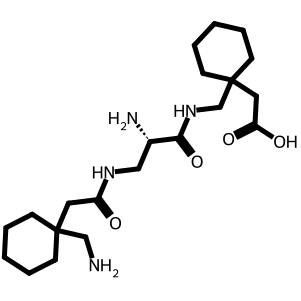 NCC1(CC(=O)NC[C@H](N)C(=O)NCC2(CC(=O)O)CCCCC2)CCCCC1